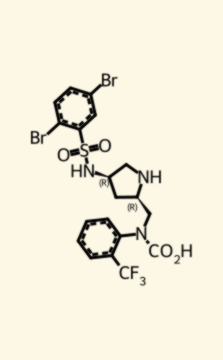 O=C(O)N(C[C@H]1C[C@@H](NS(=O)(=O)c2cc(Br)ccc2Br)CN1)c1ccccc1C(F)(F)F